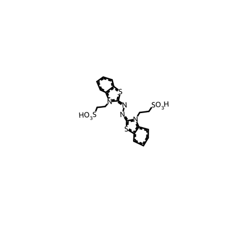 O=S(=O)(O)CCn1c(=NN=c2sc3ccccc3n2CCS(=O)(=O)O)sc2ccccc21